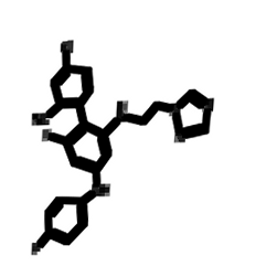 N#Cc1cc(Cl)ccc1-c1c(F)cc(Nc2ccc(F)cc2)cc1NCCn1cncn1